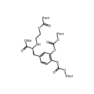 CCCC(C)OC(=O)Oc1ccc(C[C@H](NCCOC(=O)C(C)CCC)C(=O)OC)cc1OC(=O)OC(C)CCC